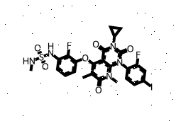 CNS(=O)(=O)Nc1cccc(Oc2c(C)c(=O)n(C)c3c2c(=O)n(C2CC2)c(=O)n3-c2ccc(I)cc2F)c1F